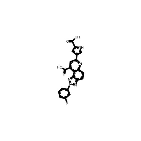 O=C(O)c1cc(-c2cc(C(=O)O)c3c(ccc4nn(-c5cccc(F)c5)nc43)n2)c[nH]1